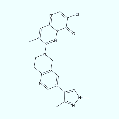 Cc1cc2ncc(Cl)c(=O)n2nc1N1CCc2ncc(-c3cn(C)nc3C)cc2C1